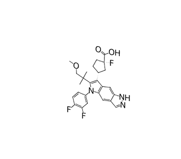 COCC(C)(C)c1c([C@@H]2CC[C@@](F)(C(=O)O)C2)c2cc3[nH]ncc3cc2n1-c1ccc(F)c(F)c1